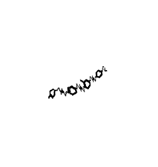 Cc1ccc(N=Nc2ccc(N=Nc3ccc(N=Nc4ccc(N(C)C)cc4)cc3C)cc2)cc1